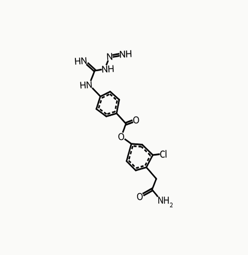 N=NNC(=N)Nc1ccc(C(=O)Oc2ccc(CC(N)=O)c(Cl)c2)cc1